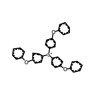 c1ccc(Oc2ccc([S+](c3ccc(Oc4ccccc4)cc3)c3ccc(Oc4ccccc4)cc3)cc2)cc1